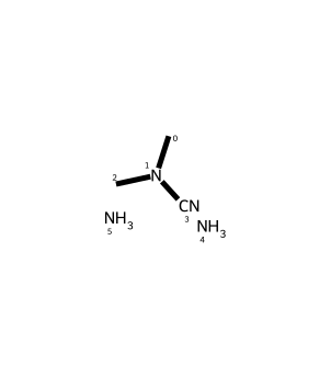 CN(C)C#N.N.N